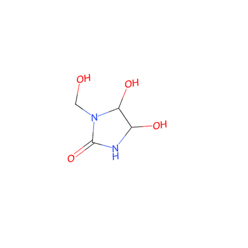 O=C1NC(O)C(O)N1CO